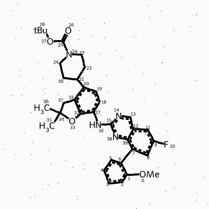 COc1ccccc1-c1cc(F)cc2cnc(Nc3ccc(C4CCN(C(=O)OC(C)(C)C)CC4)c4c3OC(C)(C)C4)nc12